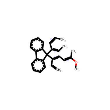 C=C/C(=C\C=C(/C)OC)C1(C(/C=C\C)=C/C)c2ccccc2-c2ccccc21